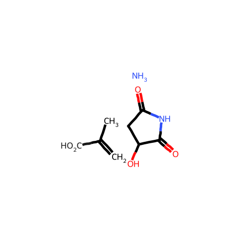 C=C(C)C(=O)O.N.O=C1CC(O)C(=O)N1